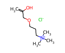 C=C(O)COCCC[N+](C)(C)C.[Cl-]